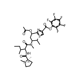 CCC(C)C(NC(=O)[C@@]1(C)CCCN1C)C(=O)N(C)C(CC(OC(C)=O)c1nc(C(=O)Oc2c(F)c(F)c(F)c(F)c2F)cs1)C(C)C